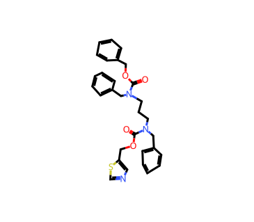 O=C(OCc1ccccc1)N(CCCN(Cc1ccccc1)C(=O)OCc1cncs1)Cc1ccccc1